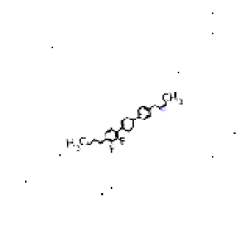 C/C=C\Cc1ccc(C2CC=C(c3ccc(CCCC)c(F)c3F)CC2)cc1